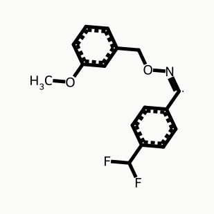 COc1cccc(CO/N=[C]\c2ccc(C(F)F)cc2)c1